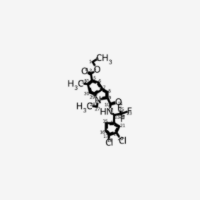 CCOC(=O)c1cc2cc(C(=O)NC(c3ccc(Cl)c(Cl)c3)C(F)(F)F)n(CC)c2cc1C